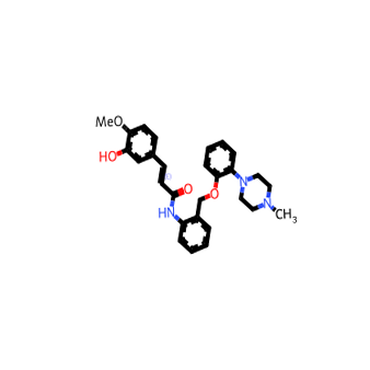 COc1ccc(/C=C/C(=O)Nc2ccccc2COc2ccccc2N2CCN(C)CC2)cc1O